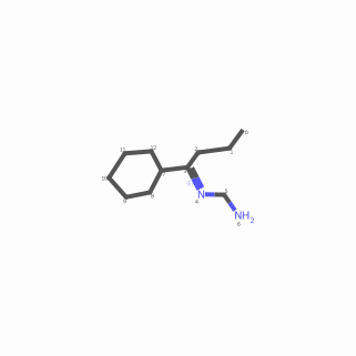 CCC/C(=N\CN)C1CCCCC1